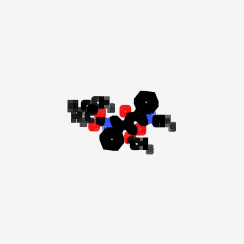 COC(=O)C(C(=O)c1cn(C)c2ccccc12)c1cn(C(=O)OC(C)(C)C)c2ccccc12